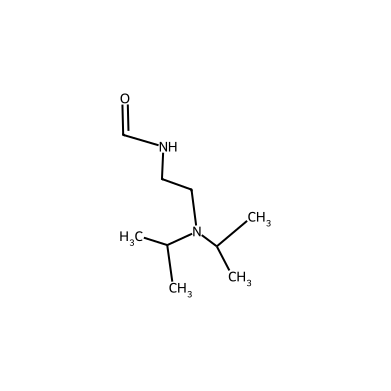 CC(C)N(CCNC=O)C(C)C